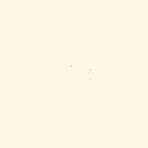 CCOCCN1CCN(C(=N)C2C=CCC(C3=Cc4c(C5=CCCC=C5OC)c[nH]c4NC3)C2)CC1